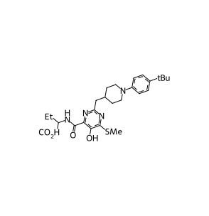 CCC(NC(=O)c1nc(CC2CCN(c3ccc(C(C)(C)C)cc3)CC2)nc(SC)c1O)C(=O)O